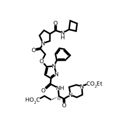 CCOC(=O)N1CCN(C(=O)[C@H](CCC(=O)O)NC(=O)c2cc(OCC(=O)N3CCC(C(=O)NC4CCC4)C3)n(-c3ccccc3)n2)CC1